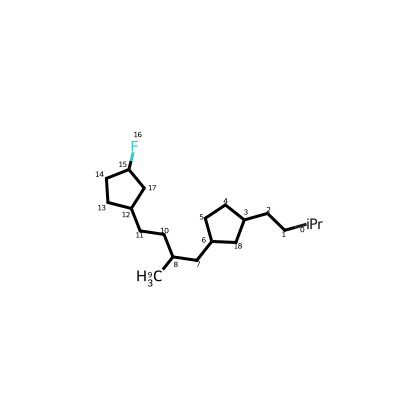 CC(C)CCC1CCC(CC(C)CCC2CCC(F)C2)C1